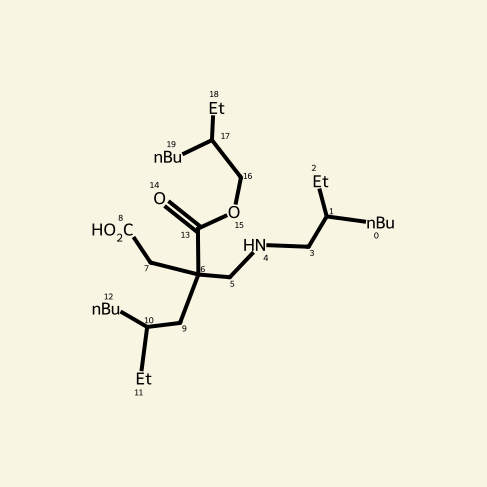 CCCCC(CC)CNCC(CC(=O)O)(CC(CC)CCCC)C(=O)OCC(CC)CCCC